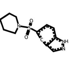 O=S(=O)(c1ccc2[nH]ncc2c1)N1CCCCC1